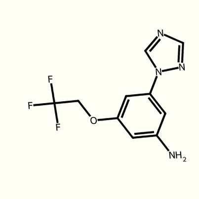 Nc1cc(OCC(F)(F)F)cc(-n2cncn2)c1